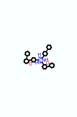 c1ccc(-c2ccc(C3NC(c4ccc5c(c4)oc4cccc(-c6ccccc6)c45)NC(c4cccc5c4oc4ccccc45)N3)cc2)cc1